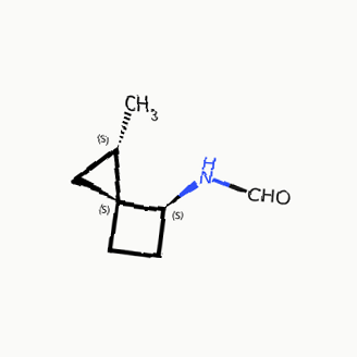 C[C@H]1C[C@@]12CC[C@@H]2NC=O